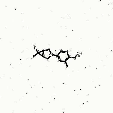 Cc1nc(N2CC3C(C2)C3(F)F)cnc1CO